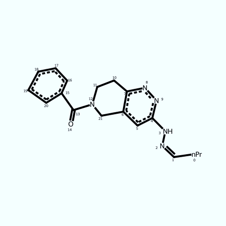 CCC/C=N\Nc1cc2c(nn1)CCN(C(=O)c1ccccc1)C2